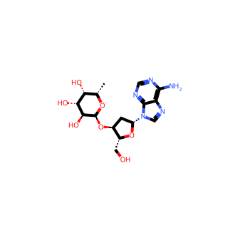 C[C@@H]1O[C@@H](O[C@H]2C[C@H](n3cnc4c(N)ncnc43)O[C@@H]2CO)[C@@H](O)[C@H](O)[C@@H]1O